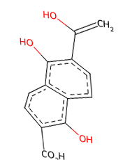 C=C(O)c1ccc2c(O)c(C(=O)O)ccc2c1O